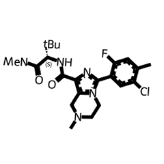 CNC(=O)[C@@H](NC(=O)c1nc(-c2cc(Cl)c(C)cc2F)n2c1CN(C)CC2)C(C)(C)C